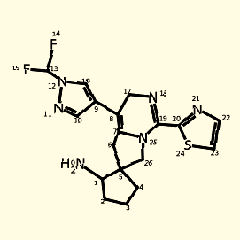 NC1CCCC12CC1=C(c3cnn(C(F)F)c3)CN=C(c3nccs3)N1C2